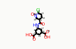 O=C(O)c1cc(NC(=O)c2ccc(Cl)[n+]([O-])c2)cc(C(=O)O)c1